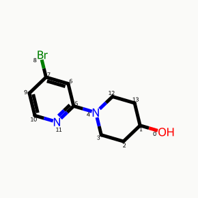 OC1CCN(c2cc(Br)ccn2)CC1